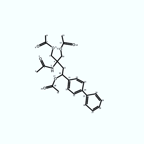 CC(=O)NC(COC(C)=O)(COC(C)=O)CC(OC(C)=O)c1ccc(-c2ccccc2)cc1